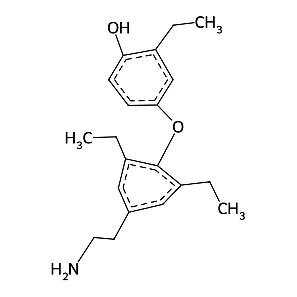 CCc1cc(Oc2c(CC)cc(CCN)cc2CC)ccc1O